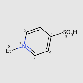 CC[n+]1ccc(S(=O)(=O)O)cc1